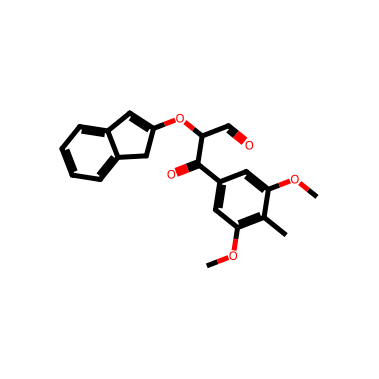 COc1cc(C(=O)C(C=O)OC2=Cc3ccccc3C2)cc(OC)c1C